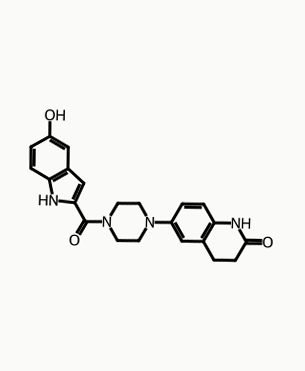 O=C1CCc2cc(N3CCN(C(=O)c4cc5cc(O)ccc5[nH]4)CC3)ccc2N1